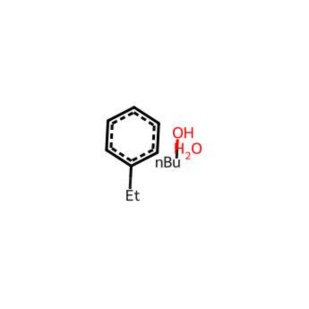 CCCCO.CCc1ccccc1.O